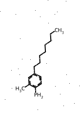 CCCCCCCCc1ccc(P)c(C)c1